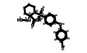 O=C(O)[C@@]1(NO)CCCCN1S(=O)(=O)c1ccc(Oc2ccc(Br)cc2)cc1